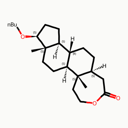 CCCCO[C@H]1CC[C@H]2[C@@H]3CC[C@H]4CC(=O)OCC[C@]4(C)[C@H]3CC[C@]12C